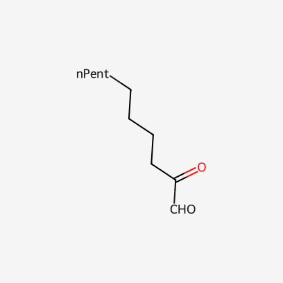 CCCCCCCCCC(=O)C=O